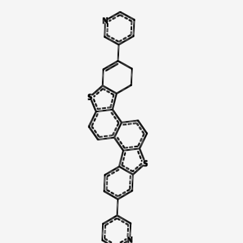 C1=C(c2cccnc2)CCc2c1sc1ccc3c(ccc4sc5cc(-c6cccnc6)ccc5c43)c21